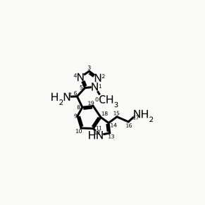 Cn1ncnc1C(N)c1ccc2[nH]cc(CCN)c2c1